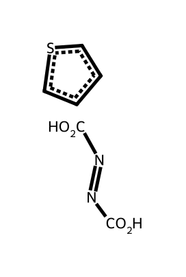 O=C(O)N=NC(=O)O.c1ccsc1